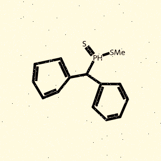 CS[PH](=S)C(c1ccccc1)c1ccccc1